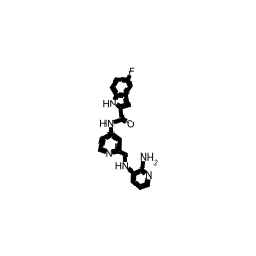 Nc1ncccc1NCc1cc(NC(=O)c2cc3cc(F)ccc3[nH]2)ccn1